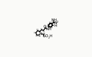 N=C(N)c1ccc(NC(=O)CCC2CCCCN2CC(=O)O)cc1